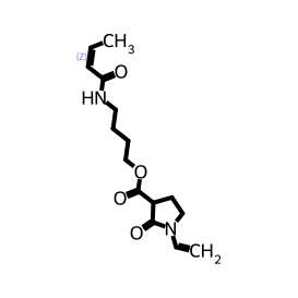 C=CN1CCC(C(=O)OCCCCNC(=O)/C=C\C)C1=O